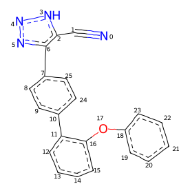 N#Cc1[nH]nnc1-c1ccc(-c2ccccc2Oc2ccccc2)cc1